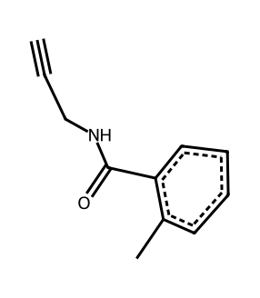 C#CCNC(=O)c1ccccc1C